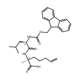 C=CCCC[C@](C)(NC(=O)[C@@H](CC(C)C)NC(=O)OCC1c2ccccc2-c2ccccc21)C(=O)O